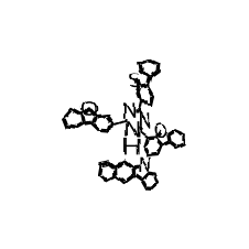 c1ccc2cc3c(cc2c1)c1ccccc1n3-c1cc(C2=NC(c3ccc4c(c3)sc3ccccc34)=NC(c3ccc4c(c3)oc3ccccc34)N2)c2oc3ccccc3c2c1